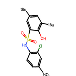 CC(C)(C)c1cc(C(C)(C)C)c(O)c(S(=O)(=O)Nc2ccc([N+](=O)[O-])cc2Cl)c1